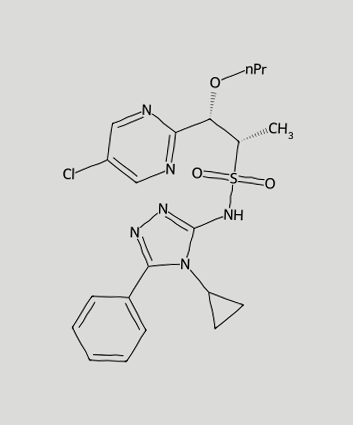 CCCO[C@@H](c1ncc(Cl)cn1)[C@H](C)S(=O)(=O)Nc1nnc(-c2ccccc2)n1C1CC1